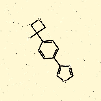 FC1(c2ccc(-c3ncon3)cc2)COC1